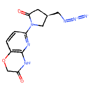 [N-]=[N+]=NC[C@@H]1CC(=O)N(c2ccc3c(n2)NC(=O)CO3)C1